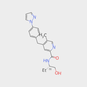 CC[C@@H](CO)NC(=O)c1cc(Cc2ccc(-n3cccn3)cc2)c(C)cn1